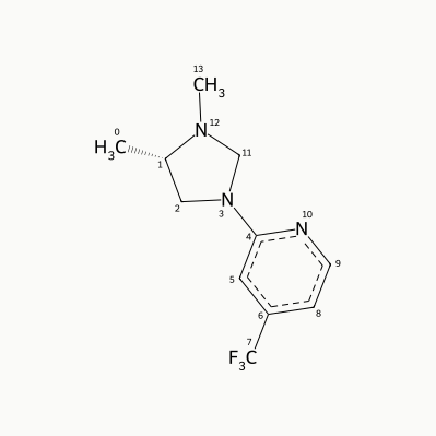 C[C@H]1CN(c2cc(C(F)(F)F)ccn2)CN1C